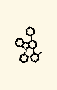 Cc1ccccc1-c1ccc(-c2ccccc2)c2c3ccccc3n(-c3ccccc3)c12